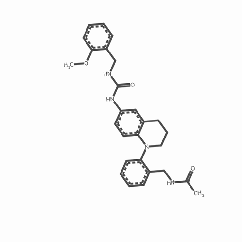 COc1ccccc1CNC(=O)Nc1ccc2c(c1)CCCN2c1ccccc1CNC(C)=O